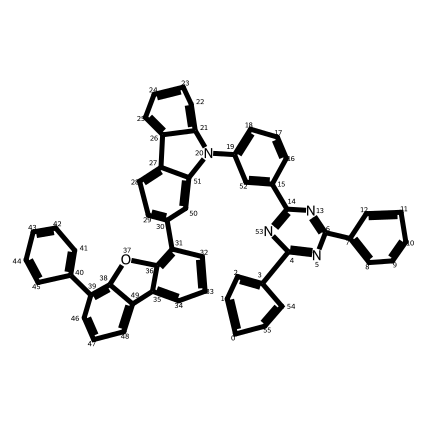 c1ccc(-c2nc(-c3ccccc3)nc(-c3cccc(-n4c5ccccc5c5ccc(-c6cccc7c6oc6c(-c8ccccc8)cccc67)cc54)c3)n2)cc1